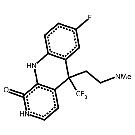 CNCCC1(C(F)(F)F)c2cc(F)ccc2Nc2c1cc[nH]c2=O